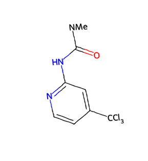 CNC(=O)Nc1cc(C(Cl)(Cl)Cl)ccn1